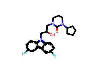 O=C1N(CC(O)Cn2c3ccc(F)cc3c3cc(F)ccc32)CCCN1C1CCCC1